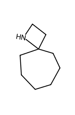 C1CCCC2(CC1)CCN2